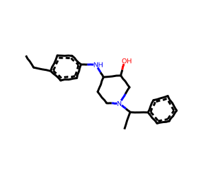 CCc1ccc(NC2CCN(C(C)c3ccccc3)CC2O)cc1